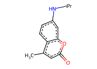 Cc1cc(=O)oc2cc(NC(C)C)ccc12